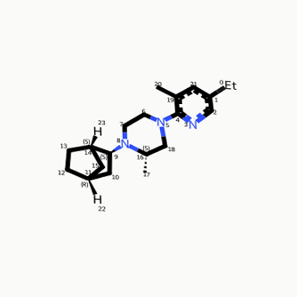 CCc1cnc(N2CCN([C@H]3C[C@@H]4CC[C@H]3C4)[C@@H](C)C2)c(C)c1